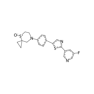 [O-][S+]1CCN(c2ccc(-c3cnc(-c4cncc(F)c4)s3)cc2)CC12CC2